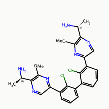 COc1nc(-c2cccc(-c3cccc(-c4cnc([C@@H](C)N)c(OC)n4)c3Cl)c2Cl)cnc1[C@@H](C)N